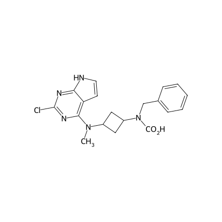 CN(c1nc(Cl)nc2[nH]ccc12)C1CC(N(Cc2ccccc2)C(=O)O)C1